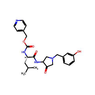 CC(C)C[C@H](NC(=O)OCc1ccncc1)C(=O)NC1CN(Cc2cccc(O)c2)CC1=O